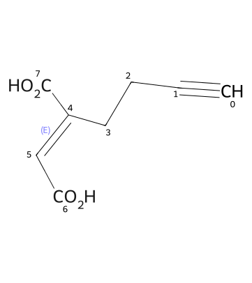 C#CCC/C(=C\C(=O)O)C(=O)O